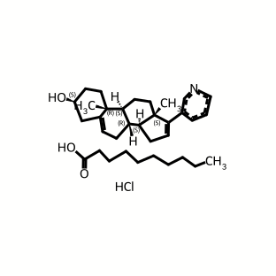 CCCCCCCCCC(=O)O.C[C@]12CC[C@H](O)CC1=CC[C@@H]1[C@@H]2CC[C@]2(C)C(c3cccnc3)=CC[C@@H]12.Cl